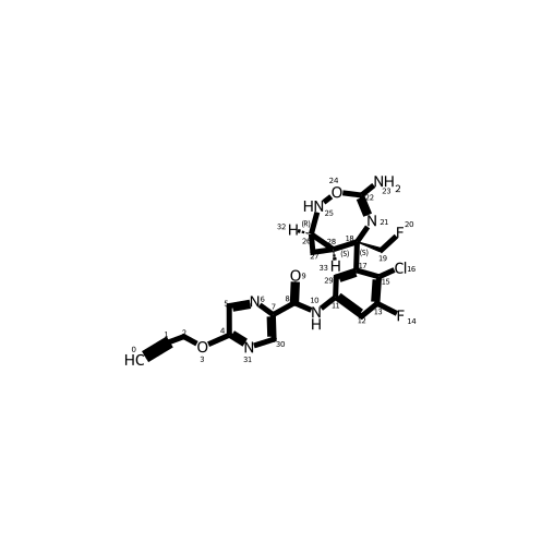 C#CCOc1cnc(C(=O)Nc2cc(F)c(Cl)c([C@@]3(CF)N=C(N)ON[C@@H]4C[C@@H]43)c2)cn1